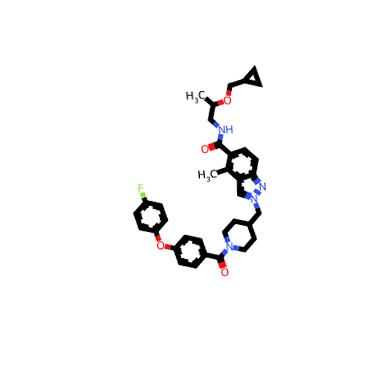 Cc1c(C(=O)NCC(C)OCC2CC2)ccc2nn(CC3CCN(C(=O)c4ccc(Oc5ccc(F)cc5)cc4)CC3)cc12